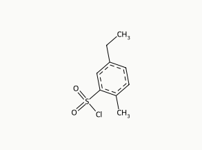 CCc1ccc(C)c(S(=O)(=O)Cl)c1